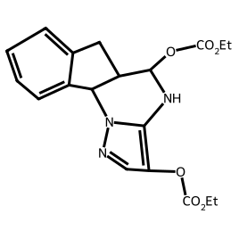 CCOC(=O)Oc1cnn2c1NC(OC(=O)OCC)C1Cc3ccccc3C12